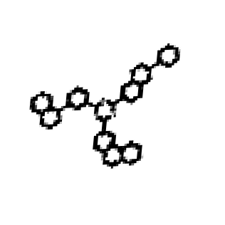 c1ccc(-c2ccc3cc(-c4nc(-c5cccc(-c6cccc7ccccc67)c5)nc(-c5ccc6ccc7ccccc7c6c5)n4)ccc3c2)cc1